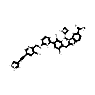 O=C(O)c1ccc2nc(Cc3cc(F)c(-c4cccc(OCc5ncc(C#Cc6cnsc6)cc5F)n4)cc3F)n(C[C@@H]3CCO3)c2c1